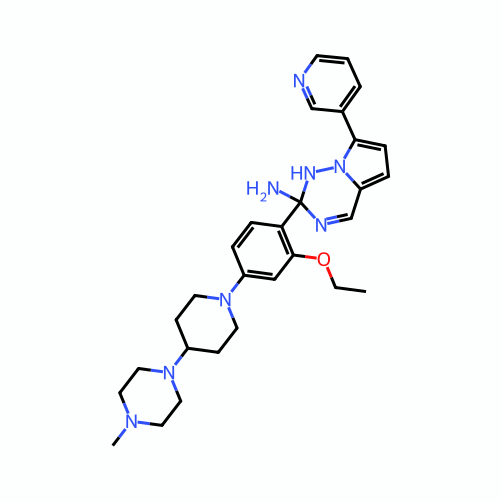 CCOc1cc(N2CCC(N3CCN(C)CC3)CC2)ccc1C1(N)N=Cc2ccc(-c3cccnc3)n2N1